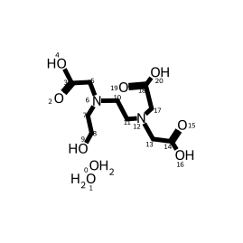 O.O.O=C(O)CN(CCO)CCN(CC(=O)O)CC(=O)O